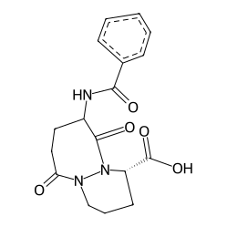 O=C(NC1CCC(=O)N2CCC[C@@H](C(=O)O)N2C1=O)c1ccccc1